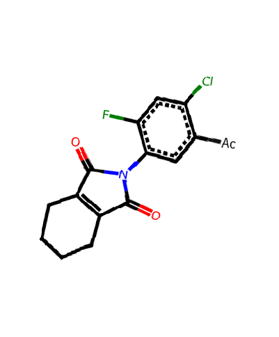 CC(=O)c1cc(N2C(=O)C3=C(CCCC3)C2=O)c(F)cc1Cl